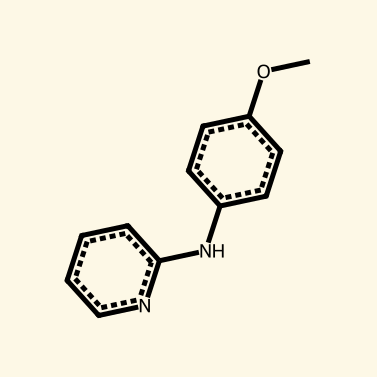 COc1ccc(Nc2ccccn2)cc1